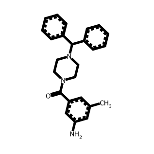 Cc1cc(N)cc(C(=O)N2CCN(C(c3ccccc3)c3ccccc3)CC2)c1